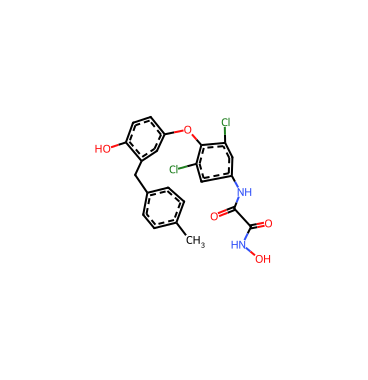 Cc1ccc(Cc2cc(Oc3c(Cl)cc(NC(=O)C(=O)NO)cc3Cl)ccc2O)cc1